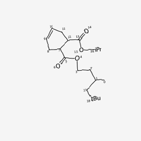 CC(CCOC(=O)C1CC=CCC1C(=O)OC(C)C)CC(C)(C)C